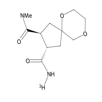 [2H]NC(=O)[C@H]1CC2(COCCO2)C[C@@H]1C(=O)NC